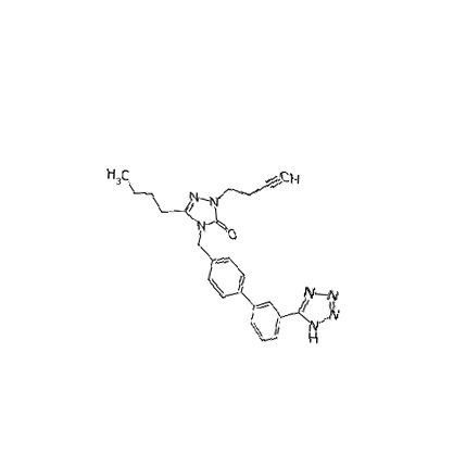 C#CCCn1nc(CCCC)n(Cc2ccc(-c3cccc(-c4nnn[nH]4)c3)cc2)c1=O